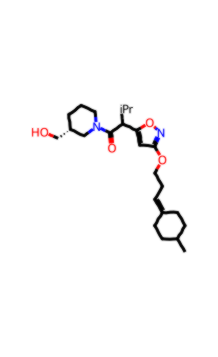 CC1CCC(=CCCOc2cc(C(C(=O)N3CCC[C@@H](CO)C3)C(C)C)on2)CC1